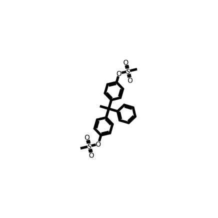 CC(c1ccccc1)(c1ccc(OS(C)(=O)=O)cc1)c1ccc(OS(C)(=O)=O)cc1